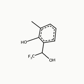 Cc1cccc(C(O)C(F)(F)F)c1O